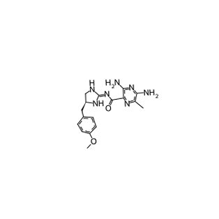 COc1ccc(C[C@H]2CN/C(=N/C(=O)c3nc(C)c(N)nc3N)N2)cc1